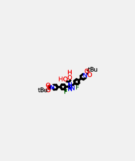 CC(C)(C)OC(=O)N1CC=C(c2ccc(-c3nnc(-c4ccc(C5=CCN(C(=O)OC(C)(C)C)CC5)cc4F)n3C(CO)CO)c(F)c2)CC1